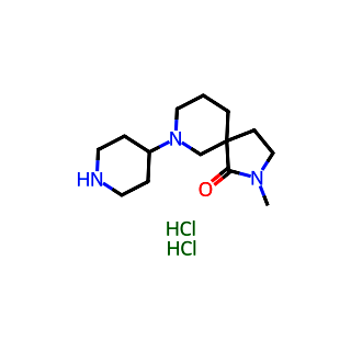 CN1CCC2(CCCN(C3CCNCC3)C2)C1=O.Cl.Cl